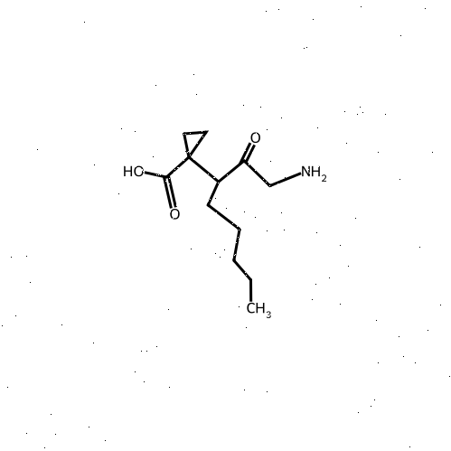 CCCCCC(C(=O)CN)C1(C(=O)O)CC1